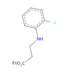 CCOC(=O)CCNc1ccccc1F